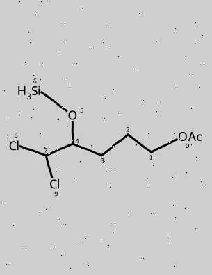 CC(=O)OCCCC(O[SiH3])C(Cl)Cl